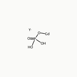 O=P(O)(O)[O][Gd].[Y]